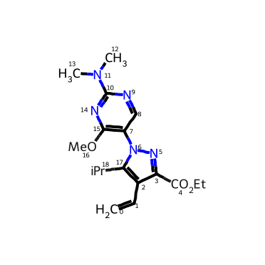 C=Cc1c(C(=O)OCC)nn(-c2cnc(N(C)C)nc2OC)c1C(C)C